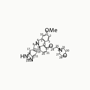 COc1cccc(CN(Cc2ccc3nc[nH]c3c2)c2cccc(OCCN3CCOCC3)c2)c1